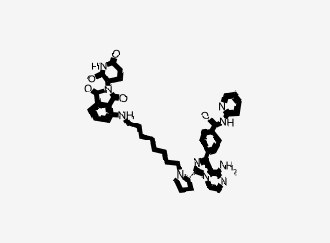 Nc1nccn2c([C@@H]3CCCN3CCCCCCCCNc3cccc4c3C(=O)N(C3CCC(=O)NC3=O)C4=O)nc(-c3ccc(C(=O)Nc4ccccn4)cc3)c12